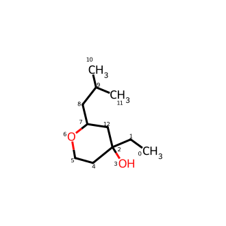 CCC1(O)CCOC(CC(C)C)C1